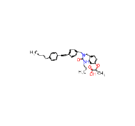 CCCCc1ccc(C#Cc2ccc(CN(Cc3ccc(OC(C)C(=O)O)cc3)C(=O)NCCC)cc2)cc1